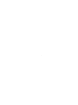 CCOCC(C(=O)O)C(=O)c1c(C(F)(F)F)ccc2ccccc12